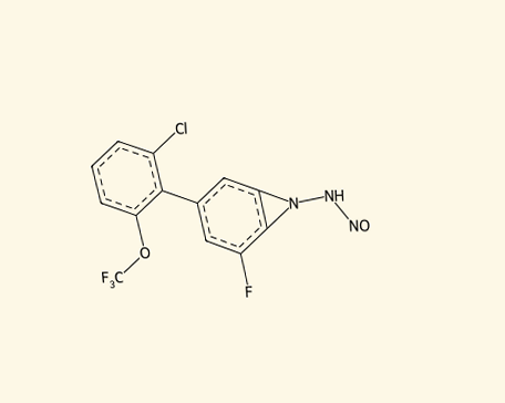 O=NNN1c2cc(-c3c(Cl)cccc3OC(F)(F)F)cc(F)c21